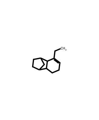 CCC1=CCCC2C3CCC(C3)C12